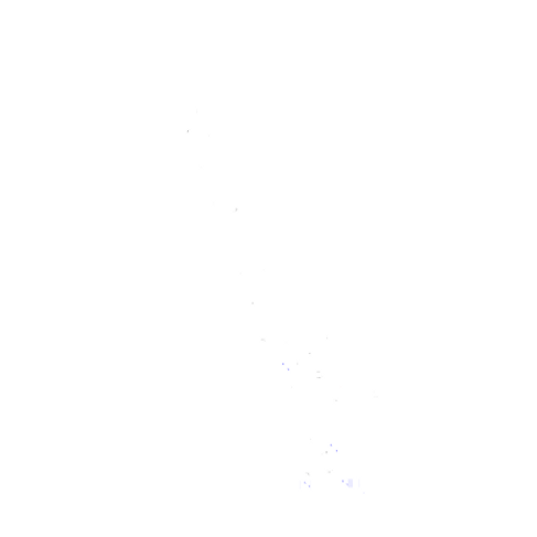 CCCCCCCCCCCCCCCCCC(=O)N[C@@H](CCCNC(=N)N)C(=O)OCC